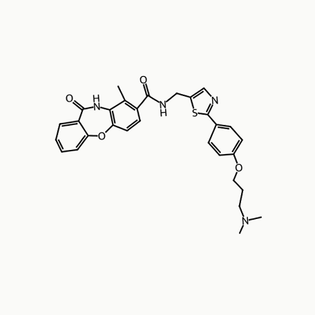 Cc1c(C(=O)NCc2cnc(-c3ccc(OCCCN(C)C)cc3)s2)ccc2c1NC(=O)c1ccccc1O2